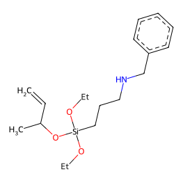 C=CC(C)O[Si](CCCNCc1ccccc1)(OCC)OCC